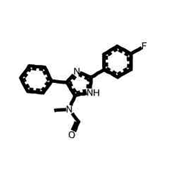 CN(C=O)c1[nH]c(-c2ccc(F)cc2)nc1-c1ccccc1